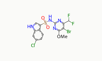 COc1nc(NS(=O)(=O)c2c[nH]c3cc(Cl)ccc23)nc(C(F)F)c1Br